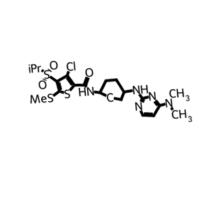 CSc1sc(C(=O)NC2CCC(Nc3nccc(N(C)C)n3)CC2)c(Cl)c1S(=O)(=O)C(C)C